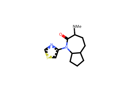 CNC1CCC2CCCC2N(c2cscn2)C1=O